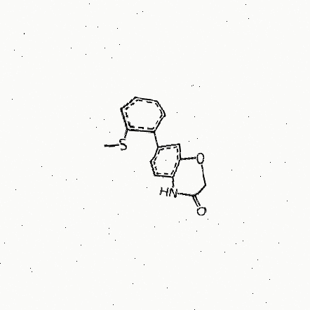 CSc1ccccc1-c1ccc2c(c1)OCC(=O)N2